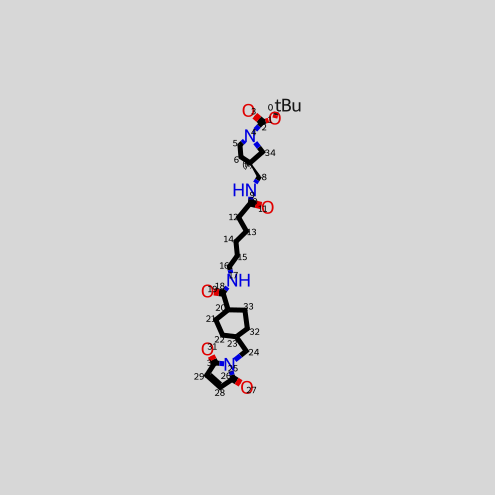 CC(C)(C)OC(=O)N1CC[C@H](CNC(=O)CCCCCNC(=O)C2CCC(CN3C(=O)C=CC3=O)CC2)C1